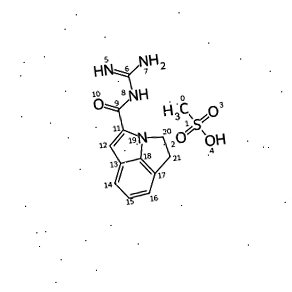 CS(=O)(=O)O.N=C(N)NC(=O)c1cc2cccc3c2n1CC3